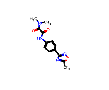 CN(C)C(=O)C(=O)Nc1ccc(-c2noc(C(F)(F)F)n2)cc1